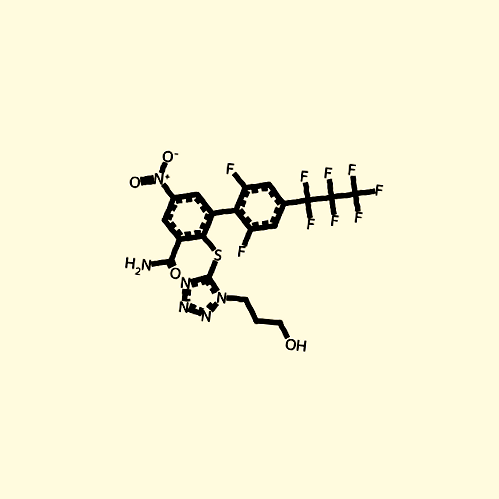 NC(=O)c1cc([N+](=O)[O-])cc(-c2c(F)cc(C(F)(F)C(F)(F)C(F)(F)F)cc2F)c1Sc1nnnn1CCCO